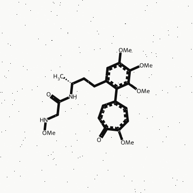 CONCC(=O)N[C@H](C)CCc1cc(OC)c(OC)c(OC)c1-c1ccc(OC)c(=O)cc1